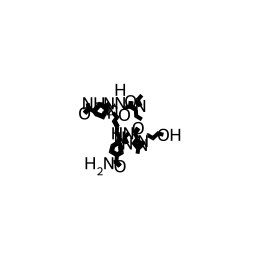 CCc1nc(C)oc1C(=O)Nc1nc2cc(C(N)=O)ccc2n1C/C=C/Cn1c(NC(=O)c2cc(C)nn2CCCO)nc2cc(C(N)=O)ccc21